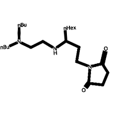 CCCCCCC(CCN1C(=O)CCC1=O)NCCN(CCCC)CCCC